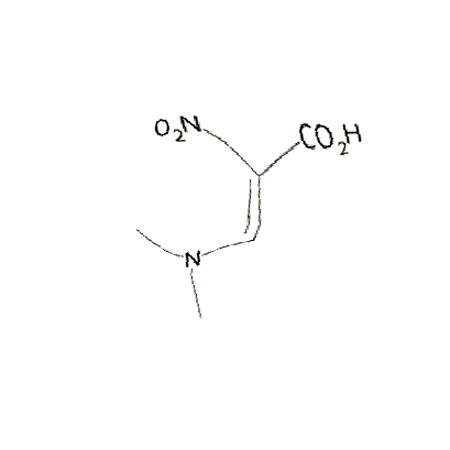 CN(C)C=C(C(=O)O)[N+](=O)[O-]